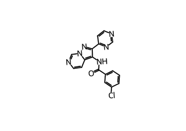 O=C(Nc1c(-c2ccncn2)nn2cnccc12)c1cccc(Cl)c1